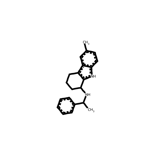 Cc1ccc2[nH]c3c(c2c1)CCCC3NC(C)c1ccccc1